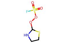 O=S(=O)(F)OOC1NCCS1